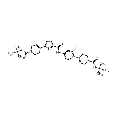 CC(C)(C)OC(=O)N1CC=C(c2ccc(C(=O)Nc3ccc(C4=CCN(C(=O)OC(C)(C)C)CC4)c(F)c3)o2)CC1